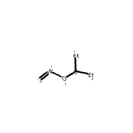 [CH]=NOC(CC)CC